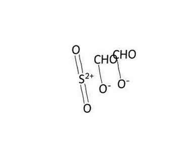 O=C[O-].O=C[O-].O=[S+2]=O